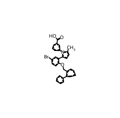 Cc1ccc(-c2cc(Br)ccc2OCc2ccccc2-c2ccccc2)n1-c1cccc(C(=O)O)c1